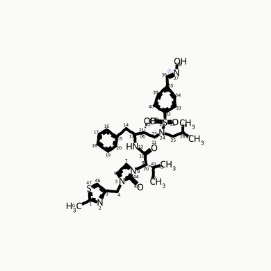 Cc1nc(Cn2ccn([C@H](C(=O)NC(Cc3ccccc3)[C@H](O)CN(CC(C)C)S(=O)(=O)c3ccc(/C=N/O)cc3)C(C)C)c2=O)cs1